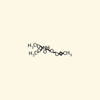 CCOCC(COCC)NC(=O)CCOCCOC1CC(C)C1